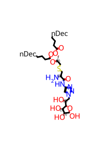 CCCCCCCCCCCCCC(=O)OC[C@H](CSC[C@@H](N)C(=O)Nc1cn(C[C@H](O)C2OC(O)[C@@H](O)[C@@H]2O)nn1)OC(=O)CCCCCCCCCCCCC